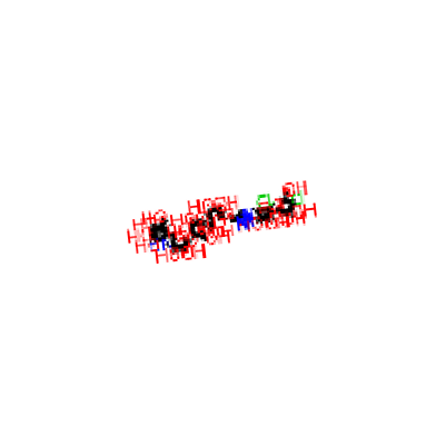 CC1O[C@H](O[C@@H]2C(CO)O[C@H](O[C@@H]3C(CO)O[C@@H](OCc4cn(C[C@H]5O[C@@](CCl)(O[C@H]6O[C@H](CO)[C@H](Cl)[C@H](O)[C@H]6O)[C@@H](O)[C@@H]5O)nn4)C(O)[C@H]3O)C(O)[C@H]2O)C(O)[C@@H](O)[C@@H]1N[C@H]1C=C(CO)[C@@H](O)[C@H](O)[C@H]1O